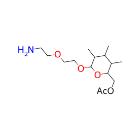 CC(=O)OCC1OC(OCCOCCN)C(C)C(C)C1C